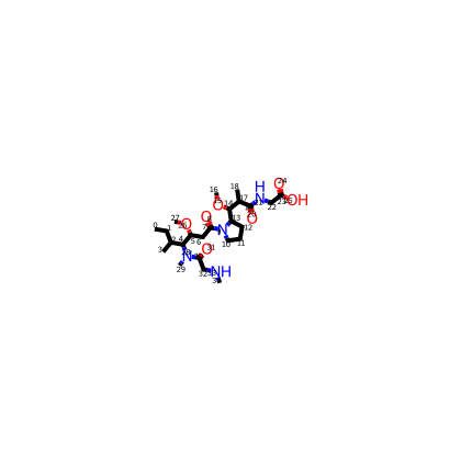 CCC(C)C(C(CC(=O)N1CCCC1C(OC)C(C)C(=O)NCC(=O)O)OC)N(C)C(=O)CNC